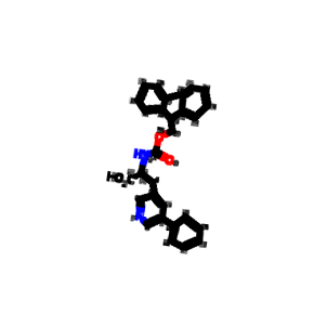 O=C(N[C@@H](Cc1cncc(-c2ccccc2)c1)C(=O)O)OCC1c2ccccc2-c2ccccc21